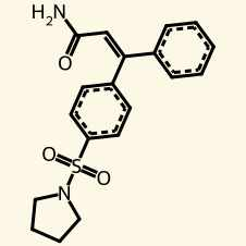 NC(=O)C=C(c1ccccc1)c1ccc(S(=O)(=O)N2CCCC2)cc1